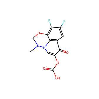 CN1COc2c(F)c(F)cc3c(=O)c(OC(=O)O)cn1c23